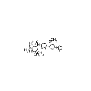 COc1cc(-n2cccn2)ccc1-c1ccc(N(C)C2CC(C)(C)NC(C)(C)C2)nn1